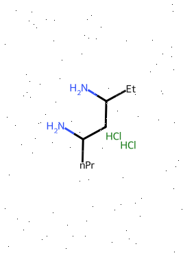 CCCC(N)CC(N)CC.Cl.Cl